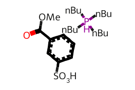 CCCC[PH](CCCC)(CCCC)CCCC.COC(=O)c1cccc(S(=O)(=O)O)c1